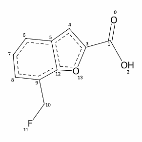 O=C(O)c1cc2cccc(CF)c2o1